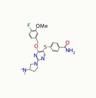 COc1cc(COc2nc(N3CCC(N(C)C)C3)ncc2Sc2ccc(C(N)=O)cc2)ccc1F